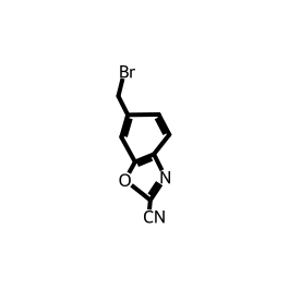 N#Cc1nc2ccc(CBr)cc2o1